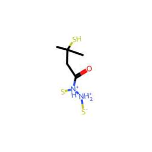 CC(C)(S)CC(=O)[NH+]([S-])[NH2+][S-]